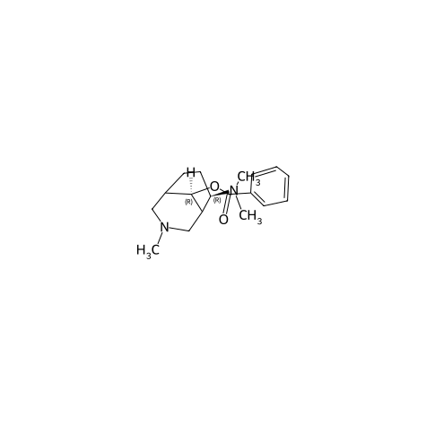 CN1CC2CC[C@@H](N(C)C)C(C1)[C@@H]2OC(=O)c1ccccc1